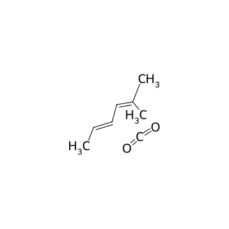 CC=CC=C(C)C.O=C=O